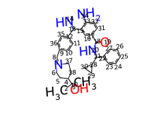 CC(C)(O)C1CCN(Cc2ccc(C(=N)c3cc(C(=O)NC(c4ccccc4)C4CC4)ccc3N)cc2)CC1